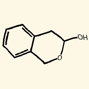 OC1Cc2ccccc2CO1